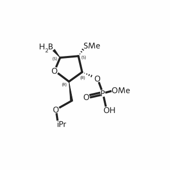 B[C@@H]1O[C@H](COC(C)C)[C@@H](OP(=O)(O)OC)[C@H]1SC